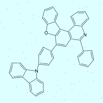 c1ccc(-c2nc3ccccc3c3c2cc(-c2ccc(-n4c5ccccc5c5ccccc54)cc2)c2oc4ccccc4c23)cc1